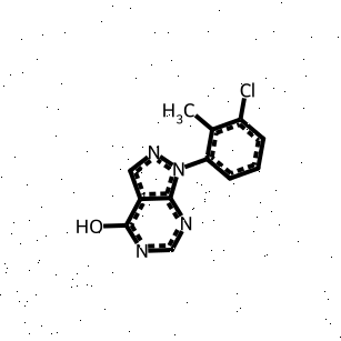 Cc1c(Cl)cccc1-n1ncc2c(O)ncnc21